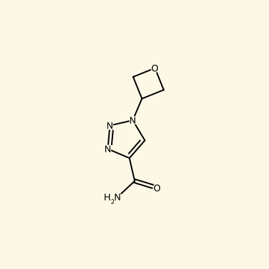 NC(=O)c1cn(C2COC2)nn1